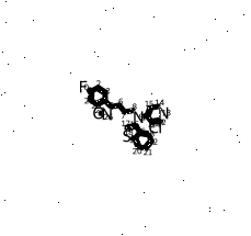 Fc1ccc2c(CCCN(c3ccncc3)c3csc4cccc(Cl)c34)noc2c1